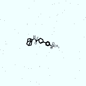 CC1(C(=O)NC2C3CC4CC(C3)CC2C4)CC=C(c2ccc(S(C)(=O)=O)cc2)CC1